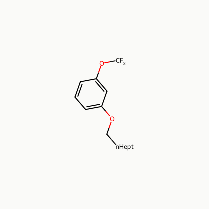 [CH2]CCCCCCCOc1cccc(OC(F)(F)F)c1